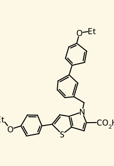 CCOc1ccc(-c2cccc(Cn3c(C(=O)O)cc4sc(-c5ccc(OCC)cc5)cc43)c2)cc1